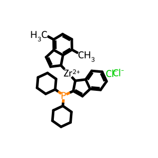 Cc1ccc(C)c2c1C=C[CH]2[Zr+2][CH]1C(P(C2CCCCC2)C2CCCCC2)=Cc2ccccc21.[Cl-].[Cl-]